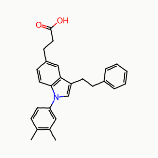 Cc1ccc(-n2cc(CCc3ccccc3)c3cc(CCC(=O)O)ccc32)cc1C